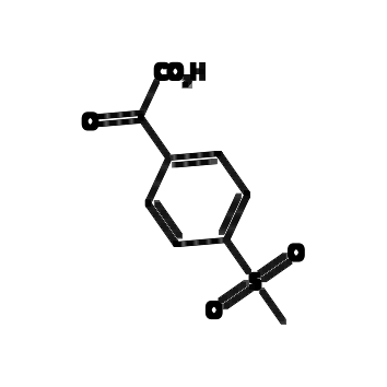 CS(=O)(=O)c1ccc(C(=O)C(=O)O)cc1